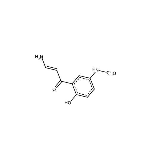 N/C=C/C(=O)c1cc(NC=O)ccc1O